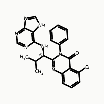 CC(C)[C@@H](Nc1ncnc2nc[nH]c12)c1nc2cccc(Cl)c2c(=O)n1-c1ccccc1